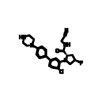 N#CCNC(=O)[C@@H]1C[C@@H](F)CN1c1cc(-c2ccc(N3CCNCC3)cc2)ccc1Cl